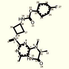 C=[N+](c1nc(C)c2c(n1)N(C)[C@@H](C)C(=O)N2)[C@H]1C[C@@H](NC(=O)Oc2ccc(F)cc2)C1